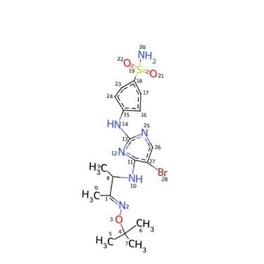 CC(=NOC(C)(C)C)C(C)Nc1nc(Nc2ccc(S(N)(=O)=O)cc2)ncc1Br